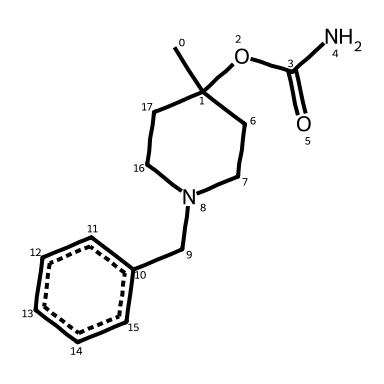 CC1(OC(N)=O)CCN(Cc2ccccc2)CC1